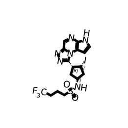 O=S(=O)(CCCC(F)(F)F)N[C@H]1C[C@@H](I)[C@@H](c2nnc3cnc4[nH]ccc4n23)C1